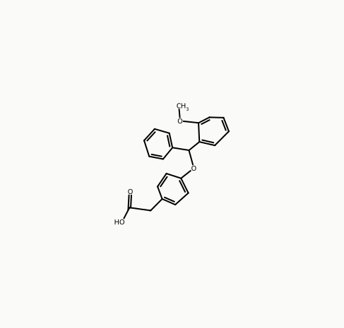 COc1ccccc1C(Oc1ccc(CC(=O)O)cc1)c1ccccc1